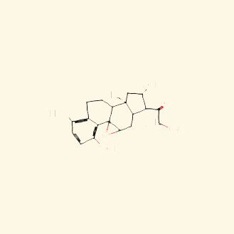 Cc1ccc(O)c2c1CCC1[C@@H]3C[C@@H](C)C(C(=O)CO)[C@@]3(C)CC3OC231